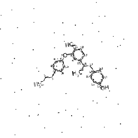 CCCc1ccc(Oc2cc(C(C)Cc3ccc(O)cc3)ccc2O)cc1